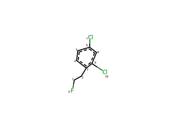 FCCc1ccc(Cl)cc1Cl